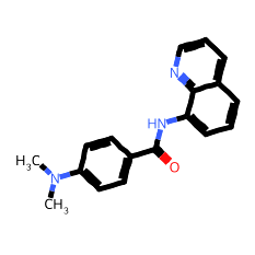 CN(C)c1ccc(C(=O)Nc2cccc3cccnc23)cc1